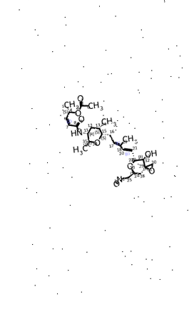 CC(=O)O[C@@H](C)/C=C\C(=O)N[C@@H]1C[C@H](C)[C@H](C/C=C(C)/C=C/[C@H]2O[C@H](CN=O)C[C@@]3(CO3)[C@@H]2O)O[C@@H]1C